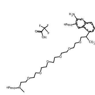 CCCCCc1cc2c(C(COCCOCCOCCOCCOCCOCCN(C)CCCCC)C(=O)O)cccc2nc1N.O=C(O)C(F)(F)F